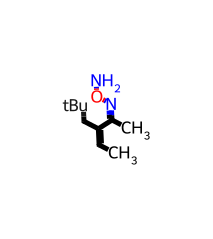 C/C=C(CC(C)(C)C)\C(C)=N/ON